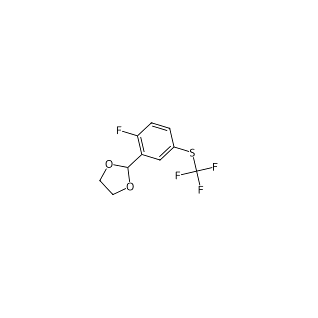 Fc1ccc(SC(F)(F)F)cc1C1OCCO1